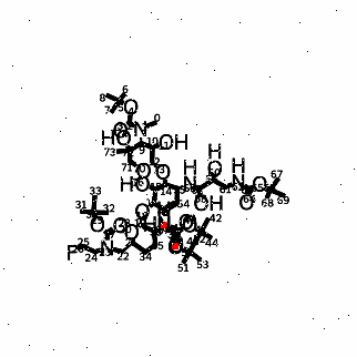 CN(C(=O)OC(C)(C)C)[C@@H]1C(O)[C@@H](OC2C(O)C(O[C@H]3O[C@H](CN(CCF)C(=O)OC(C)(C)C)CCC3NC(=O)OC(C)(C)C)C(NC(=O)OC(C)(C)C)=C[C@H]2NC(O)[C@@H](O)CNC(=O)OC(C)(C)C)OCC1(C)O